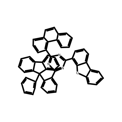 c1ccc(C2(c3ccccc3-c3nc(-c4cccc5c4oc4ccccc45)nc(-c4cccc5ccc6ccccc6c45)n3)c3ccccc3-c3ccccc32)cc1